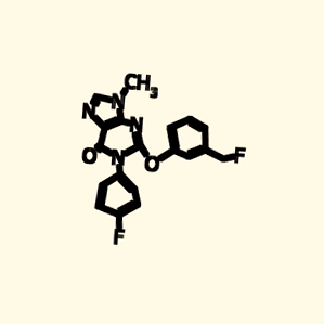 Cn1cnc2c(=O)n(-c3ccc(F)cc3)c(Oc3cccc(CF)c3)nc21